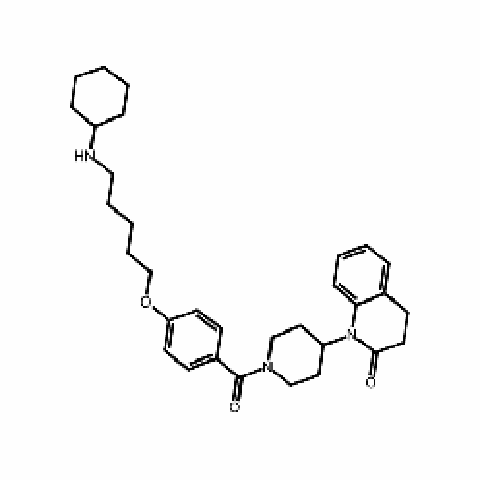 O=C(c1ccc(OCCCCCNC2CCCCC2)cc1)N1CCC(N2C(=O)CCc3ccccc32)CC1